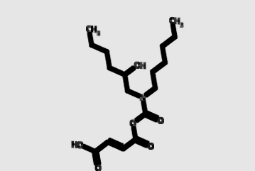 CCCCCCN(CC(O)CCCC)C(=O)OC(=O)/C=C/C(=O)O